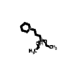 CCO[SiH](CCCN1CCCCC1)OCC